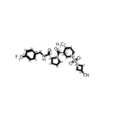 C[C@@H]1CCN(S(=O)(=O)N2CC(C#N)C2)C[C@H]1C(=O)N1CCC[C@@H]1C(=O)NCc1ccc(C(F)(F)F)cc1